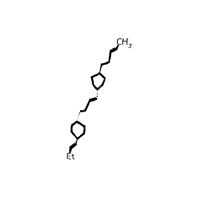 CC=CCC[C@H]1CC[C@H](C=CCC[C@H]2CC[C@H](C=CCC)CC2)CC1